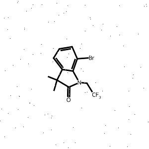 CC1(C)C(=O)N(CC(F)(F)F)c2c(Br)cccc21